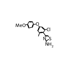 COc1ccc(Oc2cc(C)c(-c3csc(N)n3)c(Cl)c2)cc1